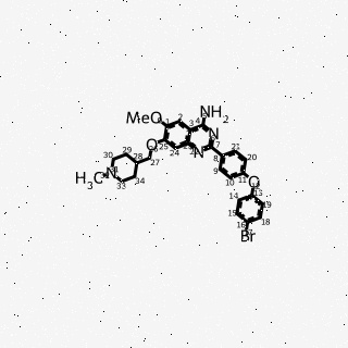 COc1cc2c(N)nc(-c3ccc(Oc4ccc(Br)cc4)cc3)nc2cc1OCC1CCN(C)CC1